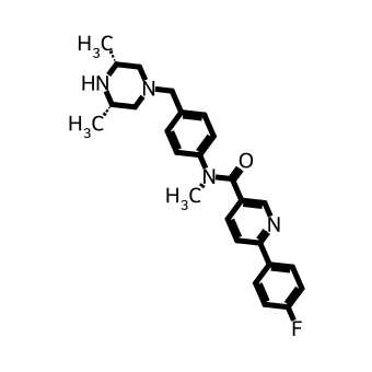 C[C@@H]1CN(Cc2ccc(N(C)C(=O)c3ccc(-c4ccc(F)cc4)nc3)cc2)C[C@H](C)N1